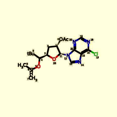 CC(=O)O[C@H]1C[C@H](C(O[SiH](C)C)C(C)(C)C)O[C@H]1n1cnc2c(Cl)ncnc21